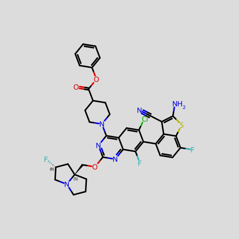 N#Cc1c(N)sc2c(F)ccc(-c3c(Cl)cc4c(N5CCC(C(=O)Oc6ccccc6)CC5)nc(OC[C@@]56CCCN5C[C@H](F)C6)nc4c3F)c12